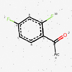 CC(=O)C(=O)c1ccc(F)cc1F